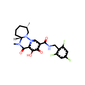 C[C@H]1CCC[C@H]2N(C)C(=O)c3c(O)c(=O)c(C(=O)NCc4c(F)cc(F)cc4F)cn3N2C1